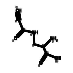 C#CC(=O)NCC(N)C(=O)O